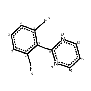 Fc1[c]ccc(F)c1-c1ncccn1